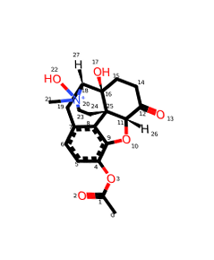 CC(=O)Oc1ccc2c3c1O[C@H]1C(=O)CC[C@@]4(O)[C@@H](C2)[N+](C)(O)CC[C@]314